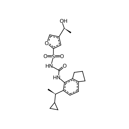 C[C@H](O)c1coc(S(=O)(=O)NC(=O)Nc2c([C@H](C)C3CC3)ccc3c2CCC3)c1